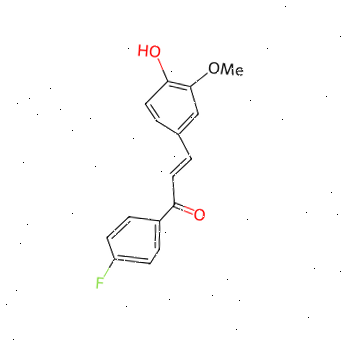 COc1cc(C=CC(=O)c2ccc(F)cc2)ccc1O